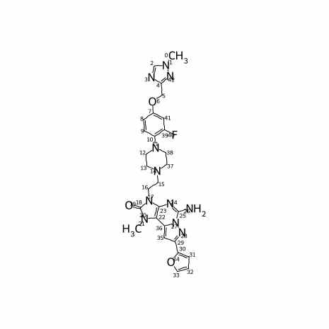 Cn1cnc(COc2ccc(N3CCN(CCn4c(=O)n(C)c5c4nc(N)n4nc(-c6ccco6)cc54)CC3)c(F)c2)n1